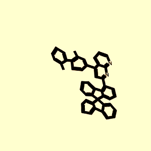 Cc1ccccc1-c1ccc(-c2cc(-c3cccc4c3-c3ccccc3C43c4ccccc4-c4ccccc43)nc3ncccc23)cc1C